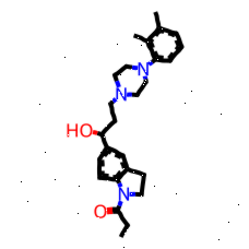 CCC(=O)N1CCc2cc(C(O)CCN3CCN(c4cccc(C)c4C)CC3)ccc21